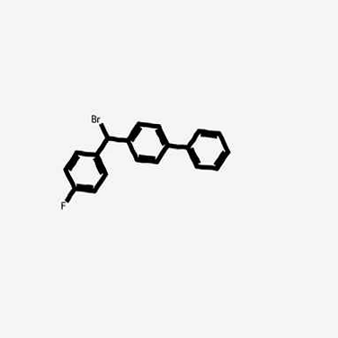 Fc1ccc(C(Br)c2ccc(-c3ccccc3)cc2)cc1